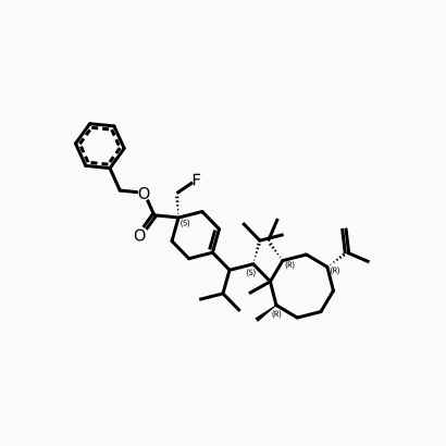 C=C(C)[C@@H]1CCC[C@@H](C)C(C)([C@@H](C(C)C)C(C2=CC[C@](CF)(C(=O)OCc3ccccc3)CC2)C(C)C)[C@H](CC)C1